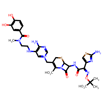 CN(CCNc1c[n+](CC2=C(C(=O)O)N3C(=O)C(NC(=O)/C(=N\OC(C)(C)C(=O)O)c4csc(N)n4)C3SC2)cnc1N)C(=O)c1ccc(O)c(O)c1